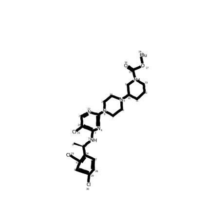 C[C@@H](Nc1nc(N2CCN(C3CCCN(C(=O)OC(C)(C)C)C3)CC2)ncc1Cl)c1ccc(Cl)cc1Cl